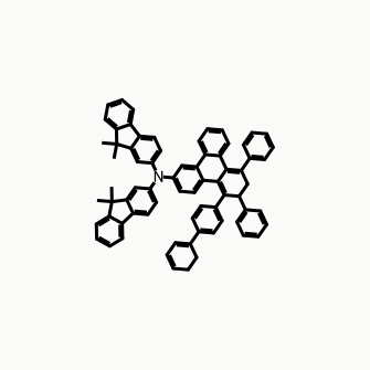 CC1(C)c2ccccc2-c2ccc(N(c3ccc4c(c3)C(C)(C)c3ccccc3-4)c3ccc4c5c(c6ccccc6c4c3)=C(c3ccccc3)CC(c3ccccc3)C=5c3ccc(C4=CC=CCC4)cc3)cc21